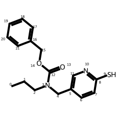 CCCN(Cc1ccc(S)nc1)C(=O)OCc1ccccc1